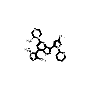 Cc1cc(-c2nsc3c(-c4c(C)nnn4C)cc(N4CCOC[C@H]4C)nc23)n(C2CCCCO2)n1